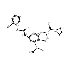 N[S+]([O-])c1cc(NC(=O)Cc2ccccc2Cl)cc2c1CCN(C(=O)C1CCC1)C2